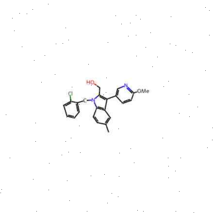 COc1ccc(-c2c(CO)n(Cc3ccccc3Cl)c3ccc(C)cc23)cn1